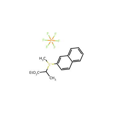 CCOC(=O)C(C)[S+](C)c1ccc2ccccc2c1.F[P-](F)(F)(F)(F)F